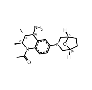 CC(=O)N1c2ccc(N3C[C@H]4CC[C@@H](C3)O4)cc2[C@H](N)[C@@H](C)[C@@H]1C